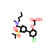 CCCCN(C)C(=O)c1ccc(-c2cc(Cl)ccc2OCC(=O)O)cc1S(=O)(=O)C(C)C